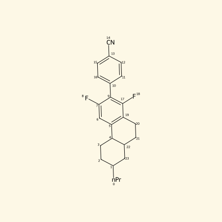 CCCC1CCC2c3cc(F)c(-c4ccc(C#N)cc4)c(F)c3CCC2C1